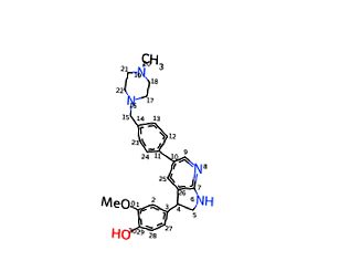 COc1cc(C2CNc3ncc(-c4ccc(CN5CCN(C)CC5)cc4)cc32)ccc1O